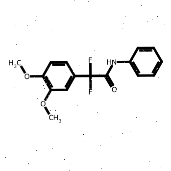 COc1ccc(C(F)(F)C(=O)Nc2ccccc2)cc1OC